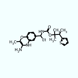 CCC(NC(=O)OC(C)(C)C(C)c1cccs1)c1ccc2c(c1)NC(N)=C(C)O2